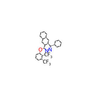 FC(F)(F)c1cccc(Oc2nnc(-c3ccccc3)c3cc4ccccc4cc23)c1C(F)(F)F